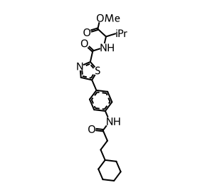 COC(=O)C(NC(=O)c1ncc(-c2ccc(NC(=O)CCC3CCCCC3)cc2)s1)C(C)C